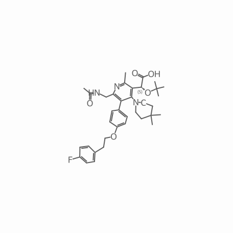 CC(=O)NCc1nc(C)c([C@H](OC(C)(C)C)C(=O)O)c(N2CCC(C)(C)CC2)c1-c1ccc(OCCc2ccc(F)cc2)cc1